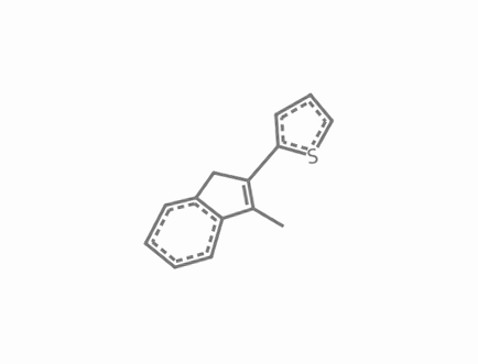 CC1=C(c2cccs2)Cc2ccccc21